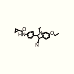 CCOc1ccc2c(c1)N(CC)C(c1ccc(NC(=O)C3CC3)cc1)C2C#N